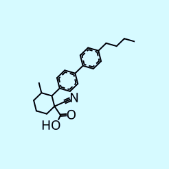 CCCCc1ccc(-c2ccc(C3C(C)CCCC3(C#N)C(=O)O)cc2)cc1